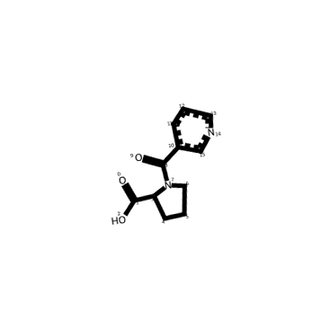 O=C(O)C1CCCN1C(=O)c1cccnc1